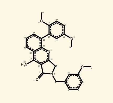 COc1cccc(CN2Cc3nc4c(-c5cc(OC)ccc5OC)cccc4c(N)c3C2=O)c1